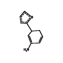 NC1=CC(c2ccco2)CC=C1